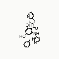 O=C(c1c(O)cc(O)cc1Nc1ccnn1Cc1ccccc1)N1Cc2cccnc2C1